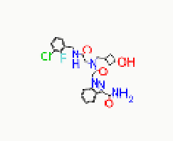 NC(=O)c1nn(CC(=O)N(CC(=O)NCc2cccc(Cl)c2F)C[C@H]2C[C@H](O)C2)c2ccccc12